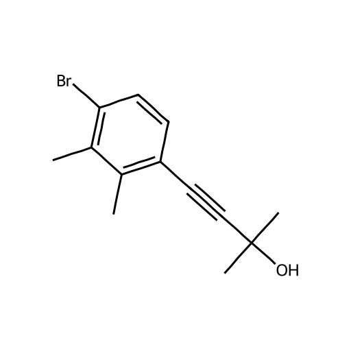 Cc1c(Br)ccc(C#CC(C)(C)O)c1C